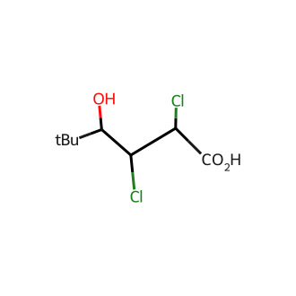 CC(C)(C)C(O)C(Cl)C(Cl)C(=O)O